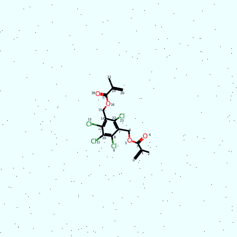 C=C(C)C(=O)OCc1c(Cl)c(Cl)c(Cl)c(COC(=O)C(=C)C)c1Cl